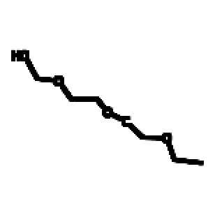 CCOCCOCCOCO